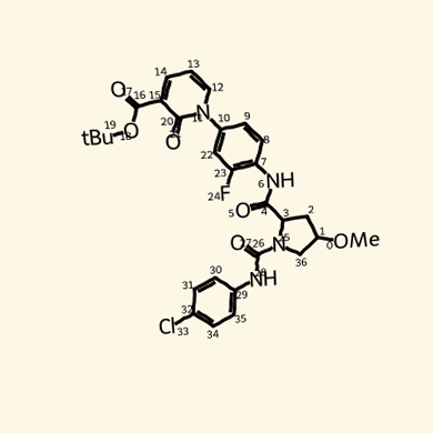 COC1CC(C(=O)Nc2ccc(-n3cccc(C(=O)OC(C)(C)C)c3=O)cc2F)N(C(=O)Nc2ccc(Cl)cc2)C1